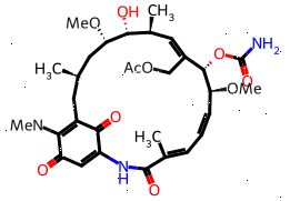 CNC1=C2C[C@@H](C)C[C@H](OC)[C@H](O)[C@@H](C)/C=C(\COC(C)=O)[C@H](OC(N)=O)[C@@H](OC)/C=C\C=C(/C)C(=O)NC(=CC1=O)C2=O